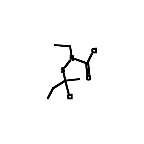 CCN(SC(C)(Cl)CC)C(=O)Cl